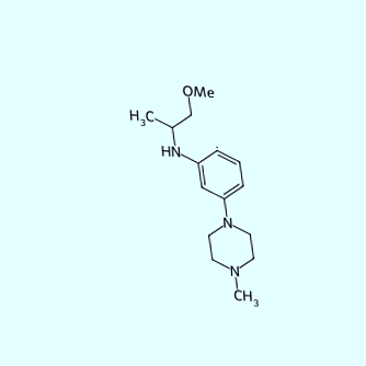 COCC(C)Nc1[c]ccc(N2CCN(C)CC2)c1